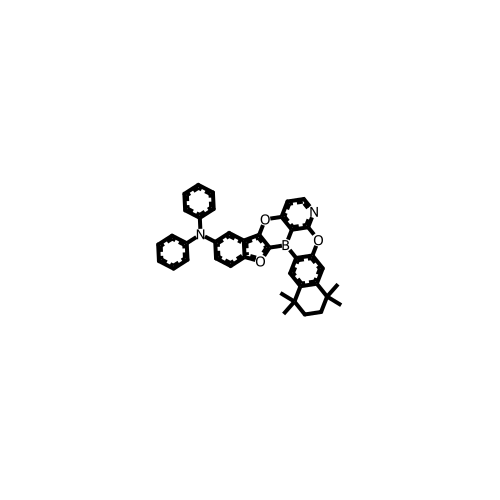 CC1(C)CCC(C)(C)c2cc3c(cc21)Oc1nccc2c1B3c1oc3ccc(N(c4ccccc4)c4ccccc4)cc3c1O2